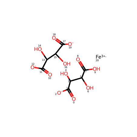 O=C([O-])C(O)C(O)C(=O)O.O=C([O-])C(O)C(O)C(=O)[O-].[Fe+3]